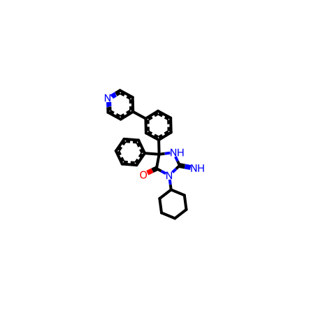 N=C1NC(c2ccccc2)(c2cccc(-c3ccncc3)c2)C(=O)N1C1CCCCC1